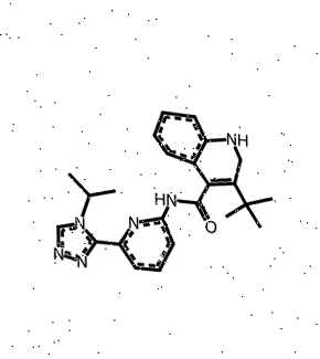 CC(C)n1cnnc1-c1cccc(NC(=O)C2=C(C(C)(C)C)CNc3ccccc32)n1